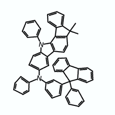 CC1(C)c2ccccc2-c2c1ccc1c3cc(N(c4ccccc4)c4cccc(C5(c6ccccc6)c6ccccc6-c6ccccc65)c4)ccc3n(-c3ccccc3)c21